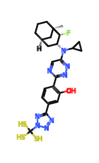 C[C@]12CCC[C@H](C[C@@H](N(c3cnc(-c4ccc(-c5nnn(C(S)(S)S)n5)cc4O)nn3)C3CC3)[C@H]1F)C2